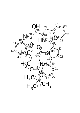 CC(C)[C@H](NC(=O)OC(C)(C)C)C(=O)N1C(c2ccccc2)SC[C@H]1C(=O)N[C@@H](Cc1ccccc1)C(O)c1nc2ccccc2s1